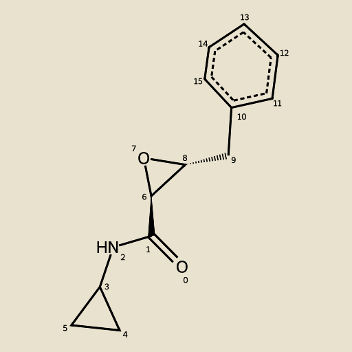 O=C(NC1CC1)[C@H]1O[C@@H]1Cc1ccccc1